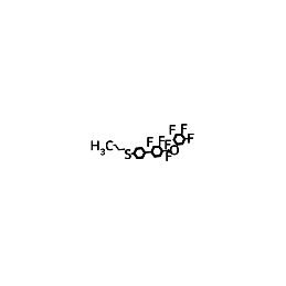 CCCCSc1ccc(-c2ccc(C(F)(F)Oc3cc(F)c(F)c(F)c3)c(F)c2F)cc1